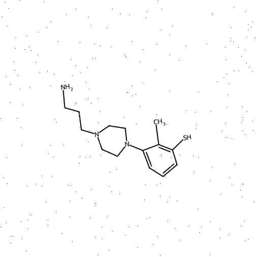 Cc1c(S)cccc1N1CCN(CCCN)CC1